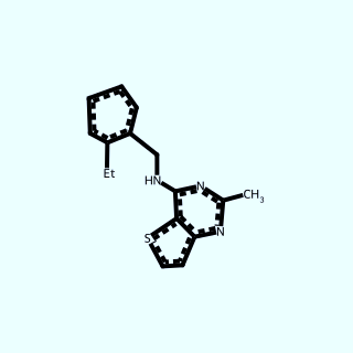 CCc1ccccc1CNc1nc(C)nc2ccsc12